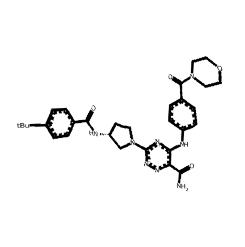 CC(C)(C)c1ccc(C(=O)N[C@@H]2CCN(c3nnc(C(N)=O)c(Nc4ccc(C(=O)N5CCOCC5)cc4)n3)C2)cc1